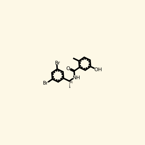 Cc1ccc(O)cc1C(=O)N[C@H](C)c1cc(Br)cc(Br)c1